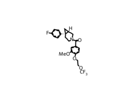 COc1cc(C(=O)N2CC[C@@]3(c4ccc(F)cc4)C[C@H]3C2)ccc1OCCOC(F)(F)F